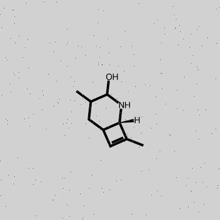 CC1=CC2CC(C)C(O)N[C@H]12